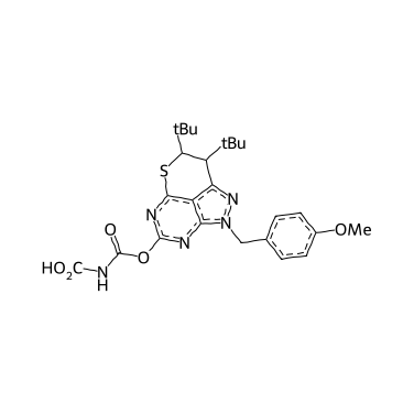 COc1ccc(Cn2nc3c4c(nc(OC(=O)NC(=O)O)nc42)SC(C(C)(C)C)C3C(C)(C)C)cc1